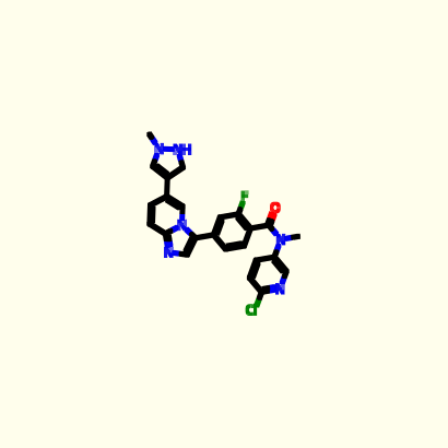 CN1C=C(c2ccc3ncc(-c4ccc(C(=O)N(C)c5ccc(Cl)nc5)c(F)c4)n3c2)CN1